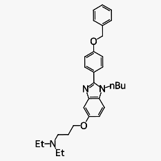 CCCCn1c(-c2ccc(OCc3ccccc3)cc2)nc2cc(OCCCN(CC)CC)ccc21